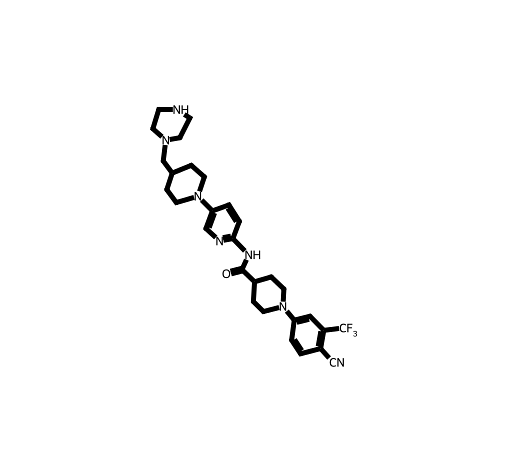 N#Cc1ccc(N2CCC(C(=O)Nc3ccc(N4CCC(CN5CCNCC5)CC4)cn3)CC2)cc1C(F)(F)F